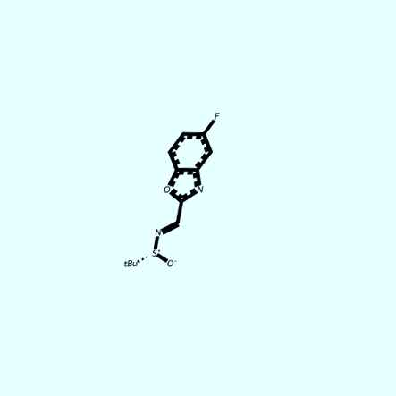 CC(C)(C)[S@@+]([O-])N=Cc1nc2cc(F)ccc2o1